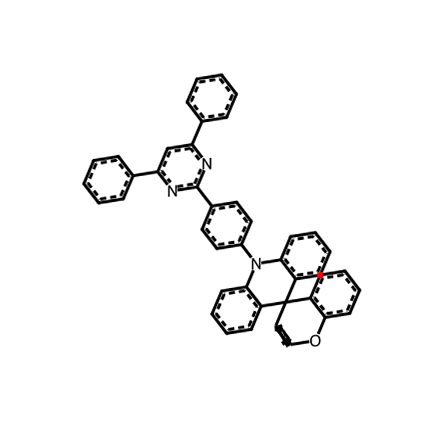 c1ccc(-c2cc(-c3ccccc3)nc(-c3ccc(N4c5ccccc5C5(c6ccccc6Oc6ccccc65)c5ccccc54)cc3)n2)cc1